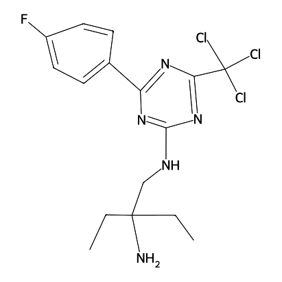 CCC(N)(CC)CNc1nc(-c2ccc(F)cc2)nc(C(Cl)(Cl)Cl)n1